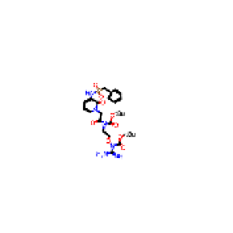 CC(C)(C)OC(=O)N(CCON(C(=N)N)C(=O)OC(C)(C)C)C(=O)Cn1cccc(NS(=O)(=O)Cc2ccccc2)c1=O